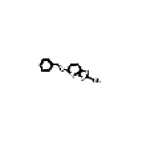 CC(C)(C)c1nc2ccc(OCc3ccccc3)nc2s1